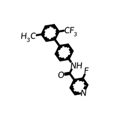 Cc1ccc(C(F)(F)F)c(-c2ccc(NC(=O)c3ccncc3F)cc2)c1